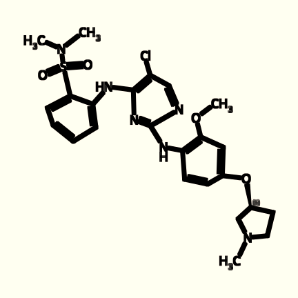 COc1cc(O[C@H]2CCN(C)C2)ccc1Nc1ncc(Cl)c(Nc2ccccc2S(=O)(=O)N(C)C)n1